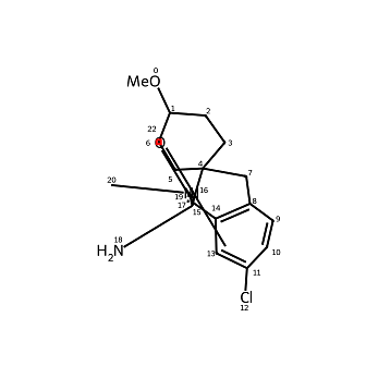 COC1CCC2(CC1)Cc1ccc(Cl)cc1C21N=C(N)N(C)C1=O